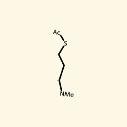 CN[CH]CCSC(C)=O